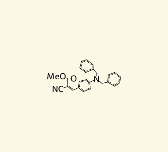 COC(=O)C(C#N)=Cc1ccc(N(Cc2ccccc2)Cc2ccccc2)cc1